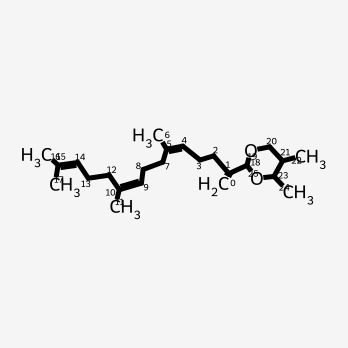 C=C(CCC=C(C)CCC=C(C)CCC=C(C)C)C1OCC(C)C(C)O1